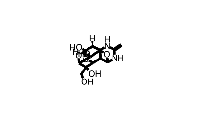 C=C1NC2O[C@@H]3C4(O)OC5C2C3(N1)[C@H](O)C(O4)C5(O)CO